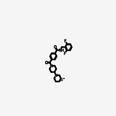 C[C@@H]1CCCN(C2CCN(C(=O)c3ccc(C(=O)NCc4c(F)cccc4F)cc3)CC2)C1